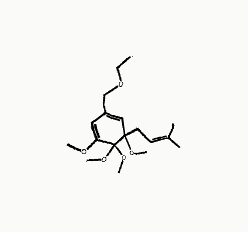 [CH2]COCC1=CC(CC=C(C)C)(OC)C(OC)(OC)C(OC)=C1